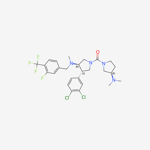 CN(C)[C@@H]1CCN(C(=O)N2C[C@H](c3ccc(Cl)c(Cl)c3)[C@@H](N(C)Cc3ccc(C(F)(F)F)c(F)c3)C2)C1